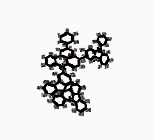 c1ccc(-c2cccc(-c3ccccc3N(c3ccc(-c4ccc5c(c4)c4ccccc4n5-c4ccccc4)cc3)c3ccc4c(c3)-c3ccccc3C43c4ccccc4-n4c5ccccc5c5cccc3c54)c2)cc1